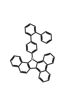 c1ccc(-c2ccccc2-c2ccc(-n3c4c5ccccc5ccc4c4c5ccccc5c5ccccc5c43)cc2)cc1